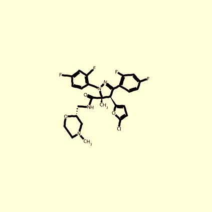 CN1CCO[C@H](CNC(=O)[C@@]2(C)[C@H](c3ccc(Cl)o3)C(c3ccc(F)cc3F)=NN2c2ccc(F)cc2F)C1